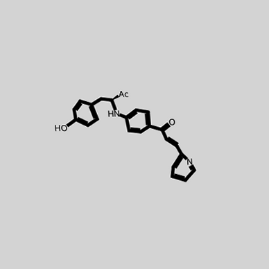 CC(=O)[C@H](Cc1ccc(O)cc1)Nc1ccc(C(=O)/C=C/c2ccccn2)cc1